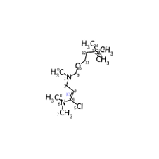 CN(C/C=C(/Cl)N(C)C)COCC[Si](C)(C)C